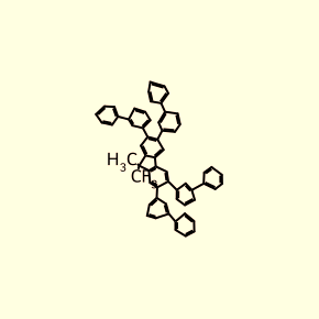 CC1(C(F)(F)F)c2cc(-c3cccc(-c4ccccc4)c3)c(-c3cccc(-c4ccccc4)c3)cc2-c2cc(-c3cccc(-c4ccccc4)c3)c(-c3cccc(-c4ccccc4)c3)cc21